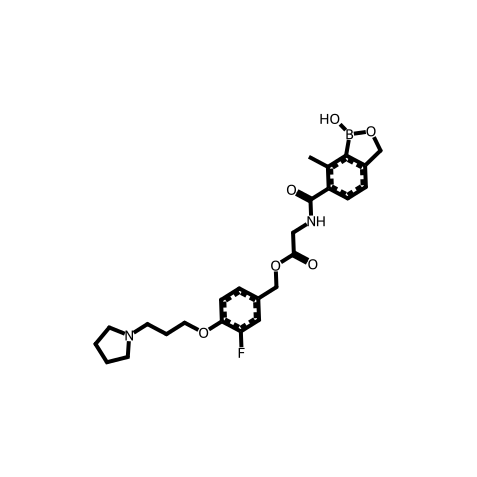 Cc1c(C(=O)NCC(=O)OCc2ccc(OCCCN3CCCC3)c(F)c2)ccc2c1B(O)OC2